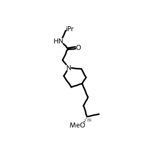 CO[C@@H](C)CCC1CCN(CC(=O)NC(C)C)CC1